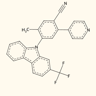 Cc1cc(C#N)c(-c2ccncc2)cc1-n1c2ccccc2c2ccc(C(F)(F)F)cc21